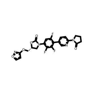 O=C1CCCN1c1ccc(-c2c(F)cc(N3C[C@H](COc4ccon4)OC3=O)c(F)c2F)cn1